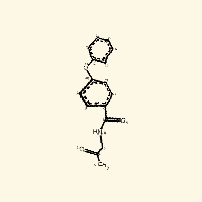 CC(=O)CNC(=O)c1ccc(Oc2ccccc2)cc1